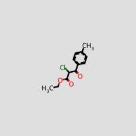 CCOC(=O)C(Cl)C(=O)c1ccc(C)cc1